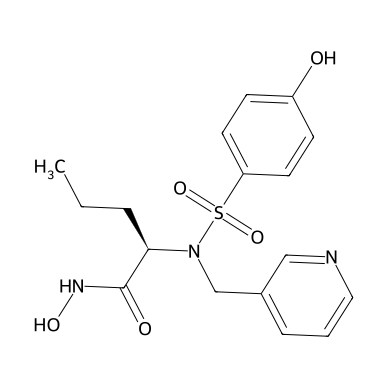 CCC[C@H](C(=O)NO)N(Cc1cccnc1)S(=O)(=O)c1ccc(O)cc1